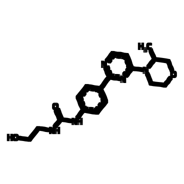 CC1COCCN1c1ccnc(-c2ccc(NC(=O)NCCO)cc2)n1